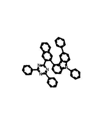 c1ccc(-c2ccc3c(c2)c2c(-c4cc5ccccc5cc4-c4nc(-c5ccccc5)nc(-c5ccccc5)n4)cccc2n3-c2ccccc2)cc1